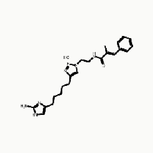 C/C(=C\c1ccccc1)C(=O)NCCn1cc(CCCCCc2c[nH]c(N)n2)nn1.Cl